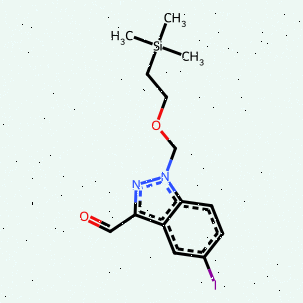 C[Si](C)(C)CCOCn1nc(C=O)c2cc(I)ccc21